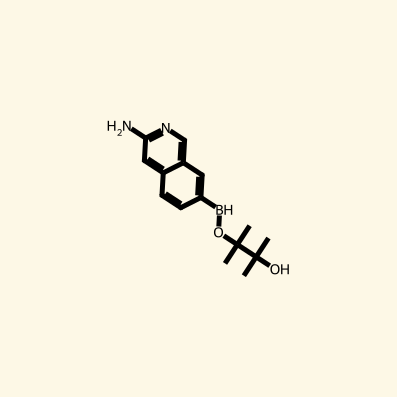 CC(C)(O)C(C)(C)OBc1ccc2cc(N)ncc2c1